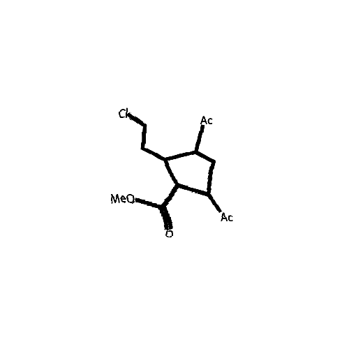 COC(=O)C1C(C(C)=O)CC(C(C)=O)C1CCCl